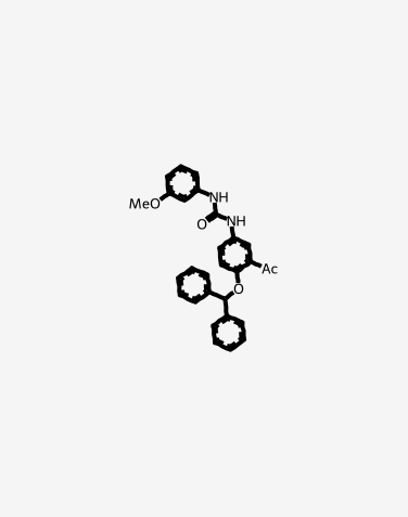 COc1cccc(NC(=O)Nc2ccc(OC(c3ccccc3)c3ccccc3)c(C(C)=O)c2)c1